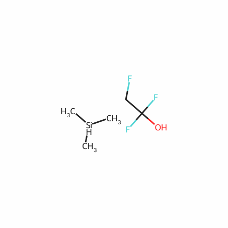 C[SiH](C)C.OC(F)(F)CF